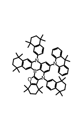 CC1(C)CCC(C)(C)c2cc(N3c4cc5c(cc4B4c6oc7c(c6N(c6ccc8c(c6)C(C)(C)CCC8(C)C)c6cc(N8c9ccccc9C(C)(C)c9ccccc98)cc3c64)C(C)(C)CCC7(C)C)C(C)(C)CCC5(C)C)ccc21